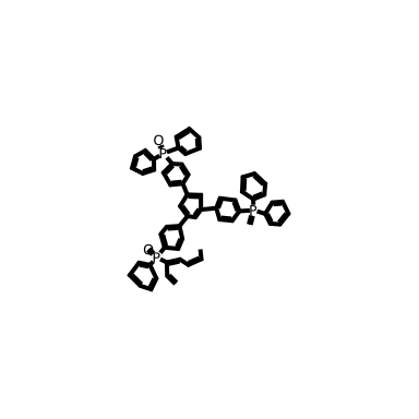 C=C/C(=C\C=C/C)P(=O)(c1ccccc1)c1ccc(-c2cc(-c3ccc(P(=C)(c4ccccc4)c4ccccc4)cc3)cc(-c3ccc(P(=O)(c4ccccc4)c4ccccc4)cc3)c2)cc1